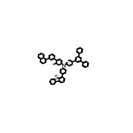 C=C(/C=C\C(=C/C)c1cc(-c2ccccc2)cc(-c2ccccc2)c1)N(C1=CC=C(c2cccc(-c3cccc4ccccc34)c2)C(C)C1)c1ccc(-c2cccc3c2sc2ccccc23)cc1